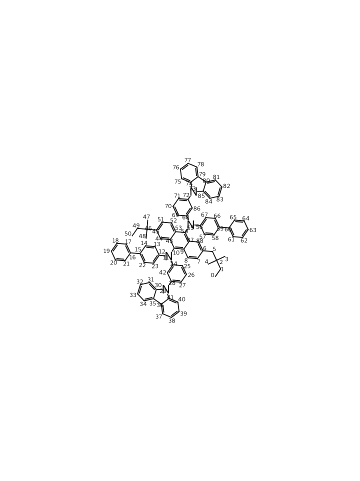 CCC(C)(C)Cc1ccc2c(N(c3ccc(-c4ccccc4)cc3)c3cccc(-n4c5ccccc5c5ccccc54)c3)c3cc(C(C)(C)CC)ccc3c(N(c3ccc(-c4ccccc4)cc3)c3cccc(-n4c5ccccc5c5ccccc54)c3)c2c1